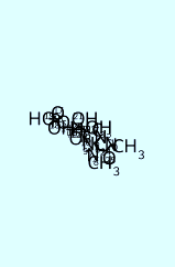 CN1CN(C)c2c([n+](C)cn2[C@@H]2O[C@H](COP(=O)(O)O)[C@@H](O)[C@H]2O)C1=O